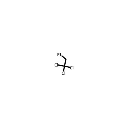 [CH]CCC(Cl)(Cl)Cl